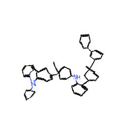 CC1(c2ccc3c(c2)c2ccccc2n3C2=CC=CCC2)C=CC(Nc2ccccc2C2=CC=CC(C)(c3cccc(-c4ccccc4)c3)C2)=CC1